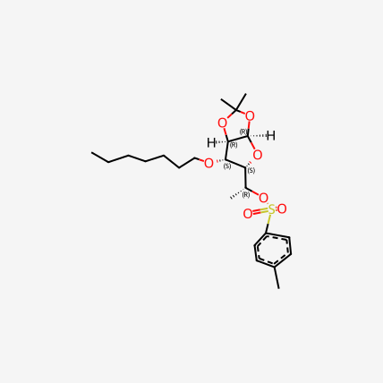 CCCCCCCO[C@@H]1[C@H]2OC(C)(C)O[C@H]2O[C@@H]1[C@@H](C)OS(=O)(=O)c1ccc(C)cc1